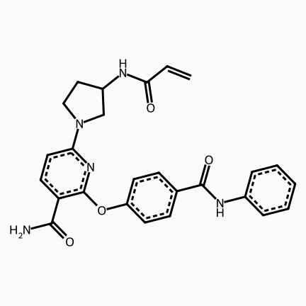 C=CC(=O)NC1CCN(c2ccc(C(N)=O)c(Oc3ccc(C(=O)Nc4ccccc4)cc3)n2)C1